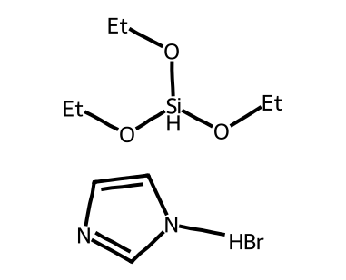 Br.CCO[SiH](OCC)OCC.Cn1ccnc1